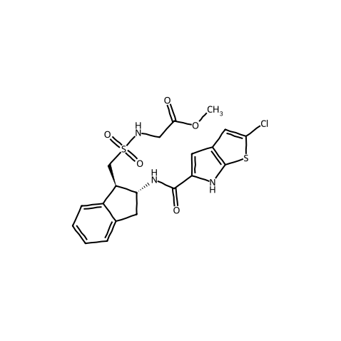 COC(=O)CNS(=O)(=O)C[C@@H]1c2ccccc2C[C@H]1NC(=O)c1cc2cc(Cl)sc2[nH]1